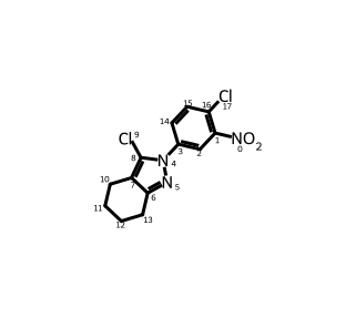 O=[N+]([O-])c1cc(-n2nc3c(c2Cl)CCCC3)ccc1Cl